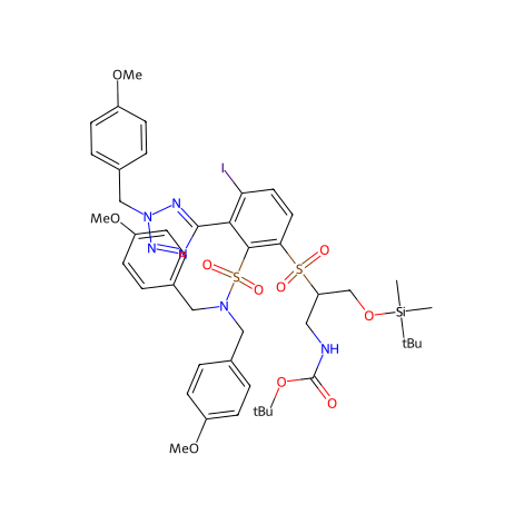 COc1ccc(CN(Cc2ccc(OC)cc2)S(=O)(=O)c2c(S(=O)(=O)C(CNC(=O)OC(C)(C)C)CO[Si](C)(C)C(C)(C)C)ccc(I)c2-c2nnn(Cc3ccc(OC)cc3)n2)cc1